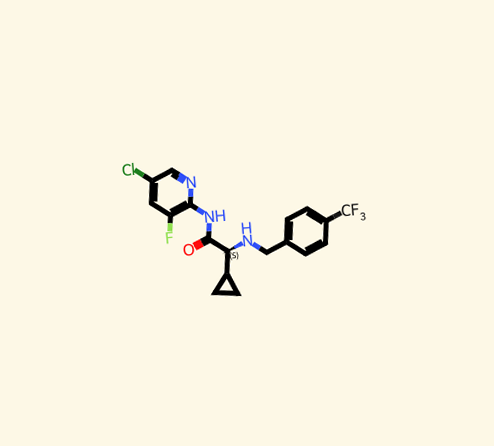 O=C(Nc1ncc(Cl)cc1F)[C@@H](NCc1ccc(C(F)(F)F)cc1)C1CC1